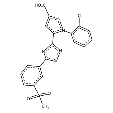 CS(=O)(=O)c1cccc(-c2nc(-c3cc(C(=O)O)nn3-c3ccccc3Cl)ns2)c1